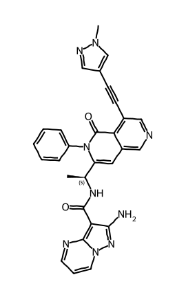 C[C@H](NC(=O)c1c(N)nn2cccnc12)c1cc2cncc(C#Cc3cnn(C)c3)c2c(=O)n1-c1ccccc1